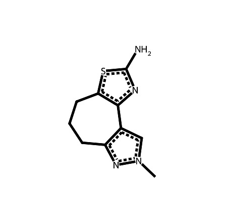 Cn1cc2c(n1)CCCc1sc(N)nc1-2